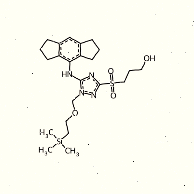 C[Si](C)(C)CCOCn1nc(S(=O)(=O)CCCO)nc1Nc1c2c(cc3c1CCC3)CCC2